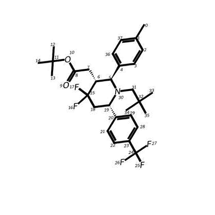 Cc1ccc([C@@H]2[C@@H](CC(=O)OC(C)(C)C)C(F)(F)C[C@@H](c3ccc(C(F)(F)F)cc3)N2CC(C)(C)C)cc1